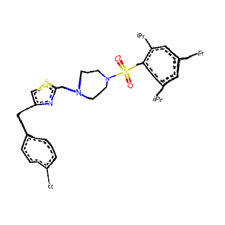 CCc1ccc(Cc2csc(N3CCN(S(=O)(=O)c4c(C(C)C)cc(C(C)C)cc4C(C)C)CC3)n2)cc1